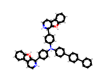 c1ccc(-c2ccc(-c3ccc(N(c4ccc(-c5nccc6c5oc5ccccc56)cc4)c4ccc(-c5nccc6c5oc5ccccc56)cc4)cc3)cc2)cc1